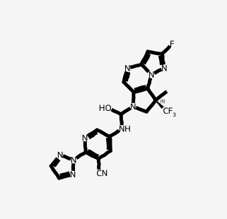 C[C@]1(C(F)(F)F)CN(C(O)Nc2cnc(-n3nccn3)c(C#N)c2)c2cnc3cc(F)nn3c21